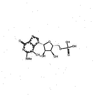 CNc1nc(=O)c2ncn([C@@H]3O[C@H](COP(=O)(O)O)[C@@H](O)[C@H]3O)c2n1C